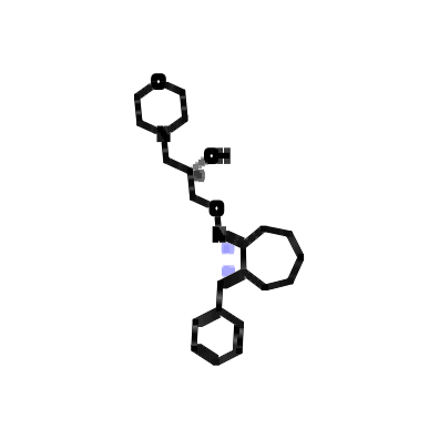 O[C@H](CO/N=C1\CCCCC\C1=C/c1ccccc1)CN1CCOCC1